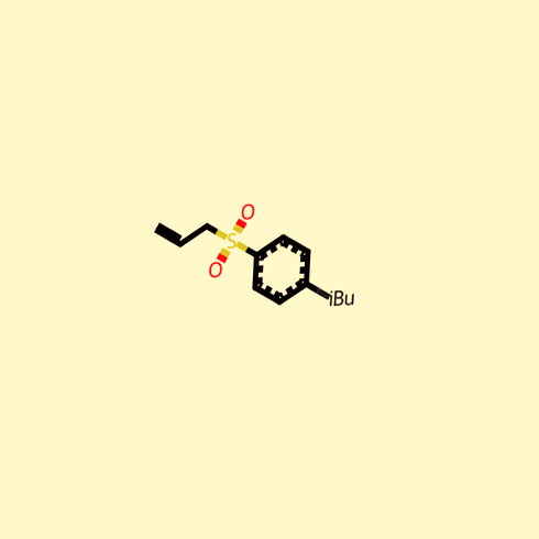 C=CCS(=O)(=O)c1ccc(C(C)CC)cc1